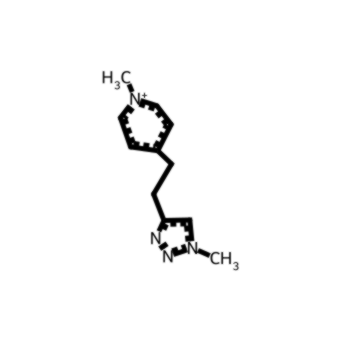 Cn1cc(CCc2cc[n+](C)cc2)nn1